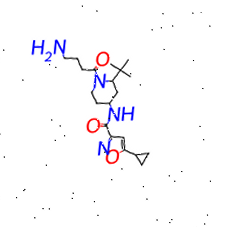 CC(C)(C)C1CC(NC(=O)c2cc(C3CC3)on2)CCN1C(=O)CCCN